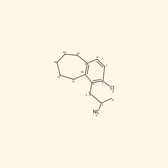 CC(C#N)Sc1c(Cl)ccc2c1CCCCC2